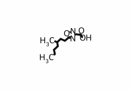 CCCCC(C)CCc1nc(C(=O)O)no1